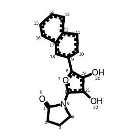 O=C1CCCN1c1oc(-c2ccc3ccccc3c2)c(O)c1O